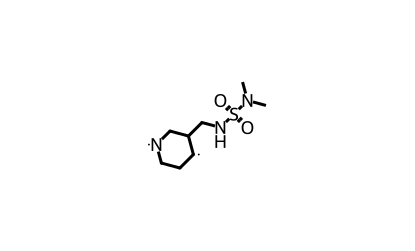 CN(C)S(=O)(=O)NCC1[CH]CC[N]C1